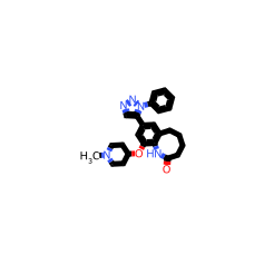 CN1CCC(Oc2cc(-c3cnnn3-c3ccccc3)cc3c2NC(=O)CCCC3)CC1